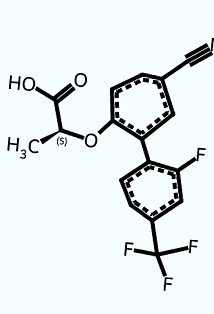 C[C@H](Oc1ccc(C#N)cc1-c1ccc(C(F)(F)F)cc1F)C(=O)O